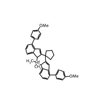 COc1ccc(-c2cccc3c2C=C2[CH]3[Hf]([CH3])([CH3])[CH]3C(=Cc4c(-c5ccc(OC)cc5)cccc43)C23CCCC3)cc1